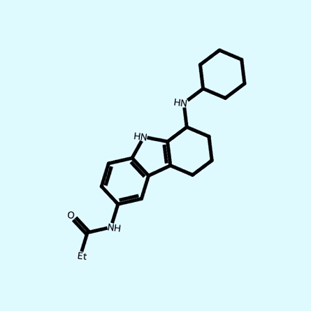 CCC(=O)Nc1ccc2[nH]c3c(c2c1)CCCC3NC1CCCCC1